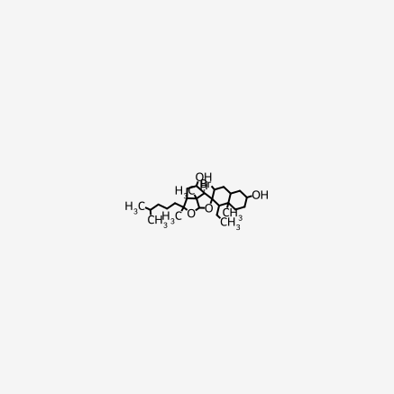 CCC1C2(C)CCC(O)CC2CC(Br)C12OC1OC(C)(CCCC(C)C)C3CC(O)[C@@H]2C13C